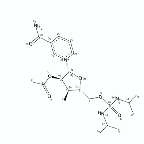 CC(=O)O[C@@H]1[C@H](C)[C@@H](COP(=O)(NC(C)C)NC(C)C)O[C@H]1[n+]1cccc(C(N)=O)c1